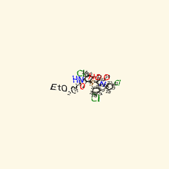 CCOC(=O)C=CC(=O)Nc1cc(SC2=C(O)C(=O)N(c3cccc(Cl)c3)C2c2ccc(Cl)cc2)ccc1Cl